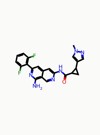 Cn1cc(C2CC2C(=O)Nc2cc3cc(-c4c(F)cccc4F)nc(N)c3cn2)cn1